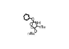 CCCCOC(=O)[C@@H](NC(=O)Oc1ccccc1)C(C)(C)C